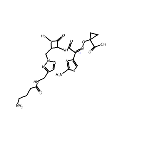 NCCCC(=O)NCc1cnn(CC2C(NC(=O)/C(=N\OC3(C(=O)O)CC3)c3csc(N)n3)C(=O)N2S)n1